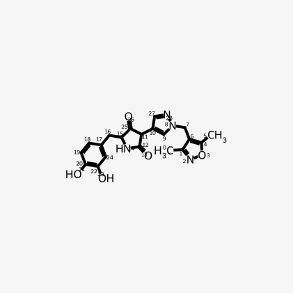 Cc1noc(C)c1Cn1cc(C2C(=O)NC(Cc3ccc(O)c(O)c3)C2=O)cn1